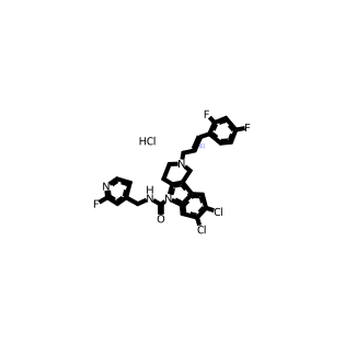 Cl.O=C(NCc1ccnc(F)c1)n1c2c(c3cc(Cl)c(Cl)cc31)CN(C/C=C/c1ccc(F)cc1F)CC2